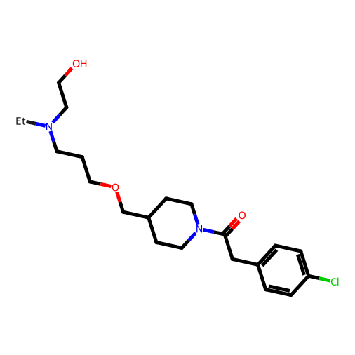 CCN(CCO)CCCOCC1CCN(C(=O)Cc2ccc(Cl)cc2)CC1